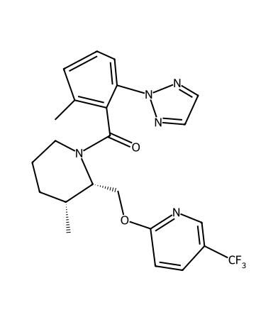 Cc1cccc(-n2nccn2)c1C(=O)N1CCC[C@@H](C)[C@H]1COc1ccc(C(F)(F)F)cn1